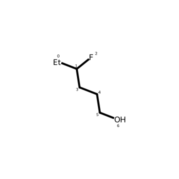 CCC(F)CCCO